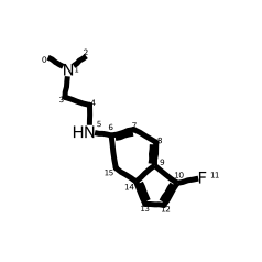 CN(C)CCNC1=CC=C2C(F)=CC=C2C1